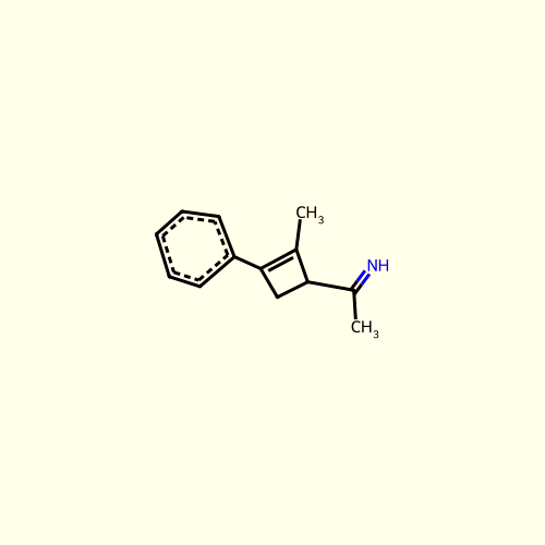 CC(=N)C1CC(c2ccccc2)=C1C